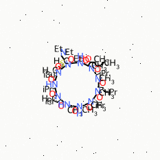 C/C=C/C[C@@H](C)[C@@H](O)[C@H]1C(=O)N[C@H](CC)C(=O)N(C)[C@H](SCCN(CC)CC)C(=O)N(C)[C@@H](C(C)CC)C(=O)N[C@H](C(C)C)C(=O)N(C)[C@H](CC(C)C)C(=O)N[C@H](C)C(=O)N[C@@H](C)C(=O)N(C)[C@@H](CC(C)C)C(=O)N(C)[C@H](CCC(C)C)C(=O)N(C)[C@H](C(C)C)C(=O)N1C